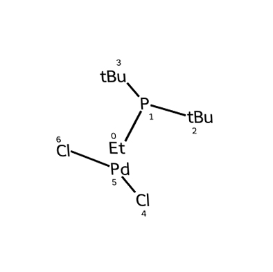 CCP(C(C)(C)C)C(C)(C)C.[Cl][Pd][Cl]